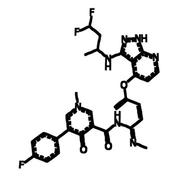 C=C(/C=C\C(=N/C)NC(=O)c1cn(C)cc(-c2ccc(F)cc2)c1=O)Oc1ccnc2[nH]nc(NC(C)CC(F)F)c12